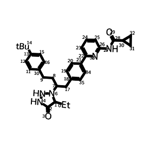 CCC1C(=O)NNN1C(CCc1ccc(C(C)(C)C)cc1)Cc1ccc(-c2cccc(NC(=O)C3CC3)n2)cc1